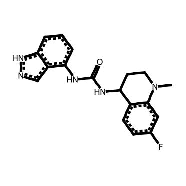 CN1CCC(NC(=O)Nc2cccc3[nH]ncc23)c2ccc(F)cc21